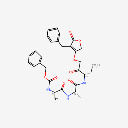 CC(C)[C@H](NC(=O)OCc1ccccc1)C(=O)N[C@@H](C)C(=O)N[C@@H](CC(=O)O)C(=O)COC1=C(Cc2ccccc2)C(=O)OC1